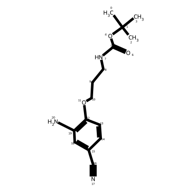 CC(C)(C)OC(=O)NCCCOc1ccc(C#N)cc1N